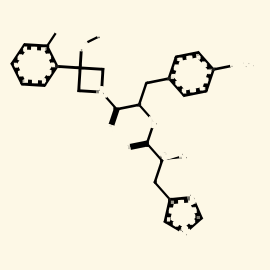 CCCOC1(c2ccccc2C)CN(C(=O)C(Cc2ccc(OC)cc2)NC(=O)[C@@H](N)Cc2c[nH]cn2)C1